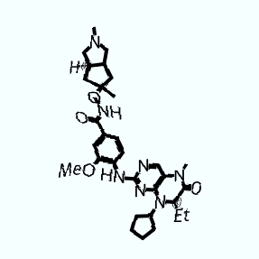 CC[C@@H]1C(=O)N(C)c2cnc(Nc3ccc(C(=O)NOC4(C)CC5CN(C)C[C@@H]5C4)cc3OC)nc2N1C1CCCC1